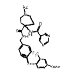 COc1ccc(Oc2ccc(CNC(=O)C3(NC(=O)c4cncnc4)CCN(C(C)=O)CC3)cc2)c(C(F)(F)F)c1